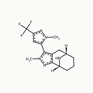 Cn1nc(C(F)(F)F)cc1-c1c2c(nn1C)[C@H]1CCC[C@@H](C2)N1